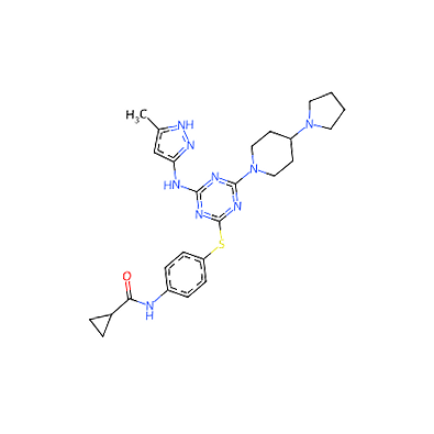 Cc1cc(Nc2nc(Sc3ccc(NC(=O)C4CC4)cc3)nc(N3CCC(N4CCCC4)CC3)n2)n[nH]1